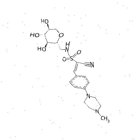 CN1CCN(c2ccc(/C=C(\C#N)S(=O)(=O)NC[C@H]3OC[C@H](O)[C@@H](O)[C@@H]3O)cc2)CC1